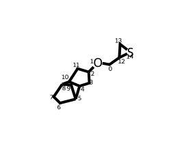 C(OC1CC2C3CCC(C3)C2C1)C1CS1